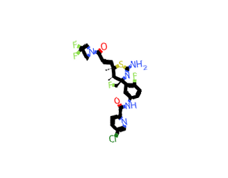 C[C@@H]1[C@@](C)(/C=C/C(=O)N2CC(F)(F)C2)SC(N)=N[C@]1(CF)c1cc(NC(=O)c2ccc(Cl)cn2)ccc1F